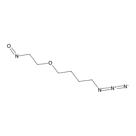 [N-]=[N+]=NCCCCOCCN=O